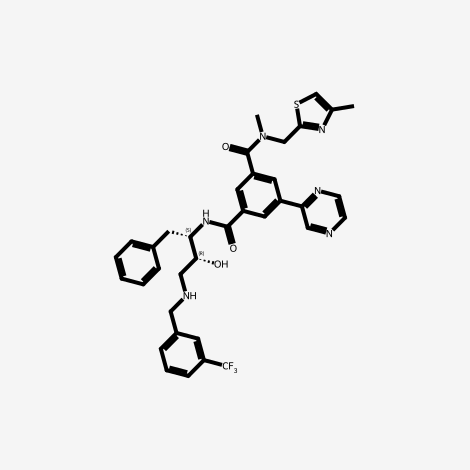 Cc1csc(CN(C)C(=O)c2cc(C(=O)N[C@@H](Cc3ccccc3)[C@H](O)CNCc3cccc(C(F)(F)F)c3)cc(-c3cnccn3)c2)n1